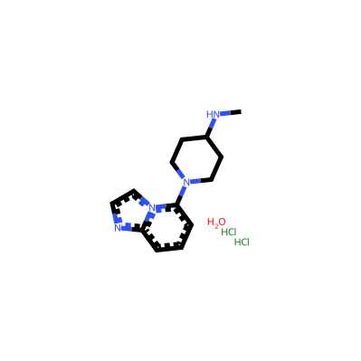 CNC1CCN(c2cccc3nccn23)CC1.Cl.Cl.O